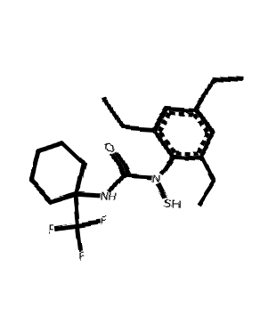 CCc1cc(CC)c(N(S)C(=O)NC2(C(F)(F)F)CCCCC2)c(CC)c1